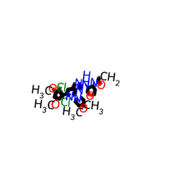 C=CC(=O)N[C@H]1CCOC[C@H]1Nc1ncc2cc(-c3c(Cl)c(OC)cc(OC)c3Cl)nc(N3CCC(C)(OC)CC3)c2n1